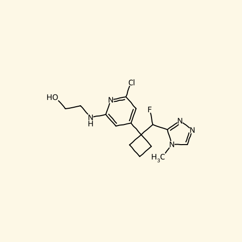 Cn1cnnc1C(F)C1(c2cc(Cl)nc(NCCO)c2)CCC1